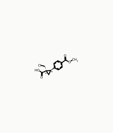 COC(=O)c1ccc([C@H]2C[C@@]2(CCl)C(=O)O)cc1